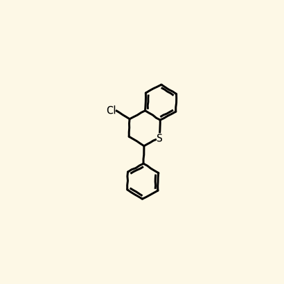 ClC1CC(c2ccccc2)Sc2ccccc21